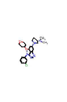 CN(C)[C@H]1CCN(c2cc(OC3CCOCC3)c3c(Nc4cccc(Cl)c4)ncnc3c2)C1